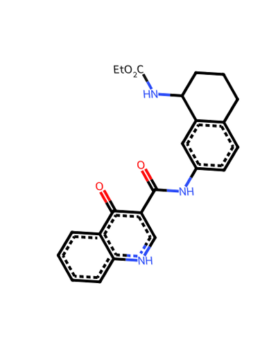 CCOC(=O)NC1CCCc2ccc(NC(=O)c3c[nH]c4ccccc4c3=O)cc21